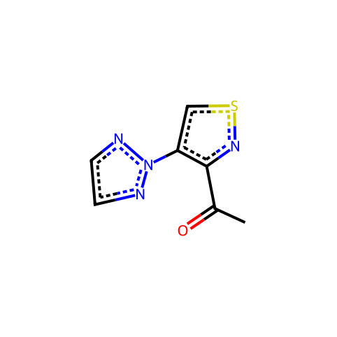 CC(=O)c1nscc1-n1nccn1